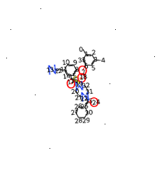 Cc1cc(C)cc(Oc2ccc(C#N)cc2S(=O)(=O)N2CCN(C(=O)C3CCCCC3)CC2)c1